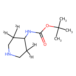 [2H]C1([2H])CNCC([2H])([2H])C1NC(=O)OC(C)(C)C